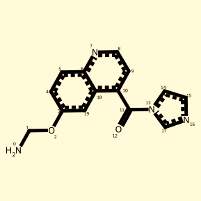 NCOc1ccc2nccc(C(=O)n3ccnc3)c2c1